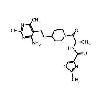 Cc1nc(C(=O)N[C@@H](C)C(=O)N2CCC(CCc3c(C)nc(Cl)nc3N)CC2)co1